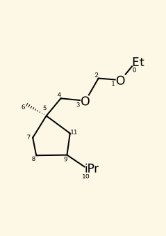 CCOCOC[C@]1(C)CCC(C(C)C)C1